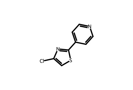 Clc1csc(-c2ccncc2)n1